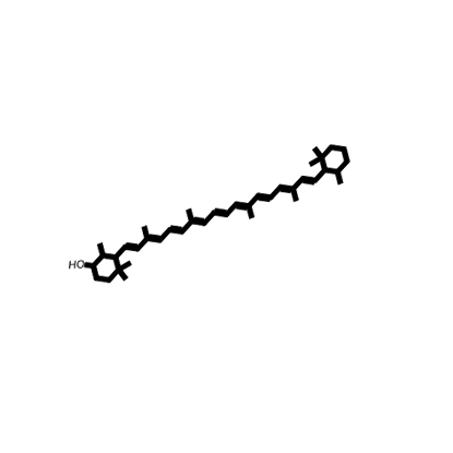 CC(/C=C/C=C(C)/C=C/C1C(C)CCCC1(C)C)=C\C=C\C=C(C)\C=C\C=C(C)\C=C\C1C(C)C(O)CCC1(C)C